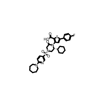 O=C(O)c1sc(-c2ccc(F)cc2)cc1N1C(=O)CN(S(=O)(=O)c2ccc(N3CCCCCC3)nc2)C[C@H]1C1CCCCC1